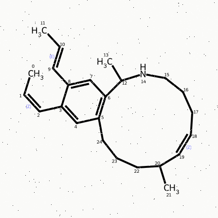 C/C=C\c1cc2c(cc1/C=C/C)C(C)NCCC/C=C\C(C)CCC2